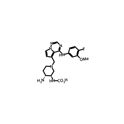 COc1cc(Nc2ncnn3ccc(CN4CC[C@@H](N)[C@H](NC(=O)O)C4)c23)ccc1F